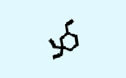 C=CC1CCCC(C=C)(C=C)C1